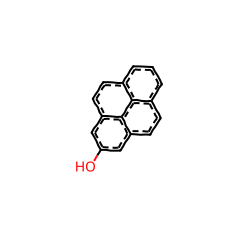 Oc1cc2ccc3cccc4ccc(c1)c2c34